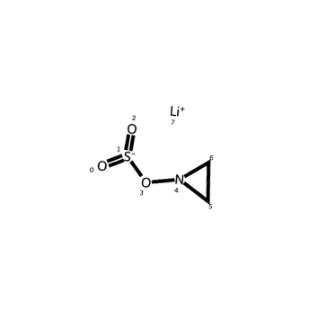 O=[S-](=O)ON1CC1.[Li+]